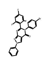 O=c1c2cn(-c3ccccc3)nc2nc(-c2c(F)cc(F)cc2F)n1-c1ccc(Br)cc1